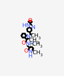 CSc1cc(C)[nH]c(=O)c1CNC(=O)c1c(C)n([C@H](C)C2CCC(NC3(C#N)COC3)CC2)c2ccccc12